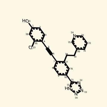 Oc1ccc(C#Cc2ccc(-c3nnn[nH]3)cc2CCc2cccnc2)c(Cl)c1